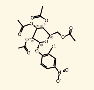 CC(=O)OC[C@H]1O[C@@H](Oc2ccc([N+](=O)[O-])cc2Cl)[C@H](OC(C)=O)[C@@H](OC(C)=O)[C@@H]1OC(C)=O